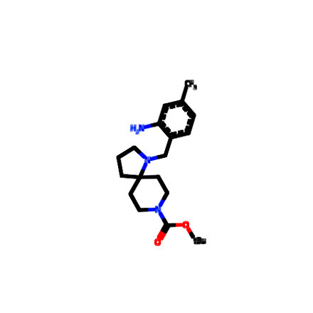 CC(C)(C)OC(=O)N1CCC2(CCCN2Cc2ccc(C(F)(F)F)cc2N)CC1